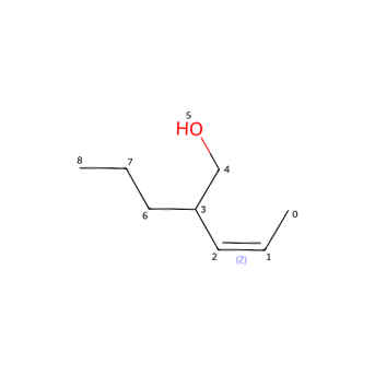 C/C=C\C(CO)CCC